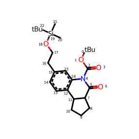 CC(C)(C)OC(=O)N1C(=O)C2CCCC2c2ccc(CCO[Si](C)(C)C(C)(C)C)cc21